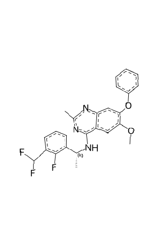 COc1cc2c(N[C@H](C)c3cccc(C(F)F)c3F)nc(C)nc2cc1Oc1ccccc1